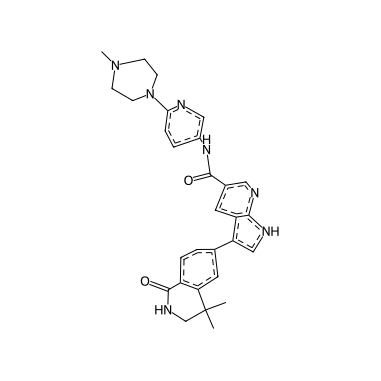 CN1CCN(c2ccc(NC(=O)c3cnc4[nH]cc(-c5ccc6c(c5)C(C)(C)CNC6=O)c4c3)cn2)CC1